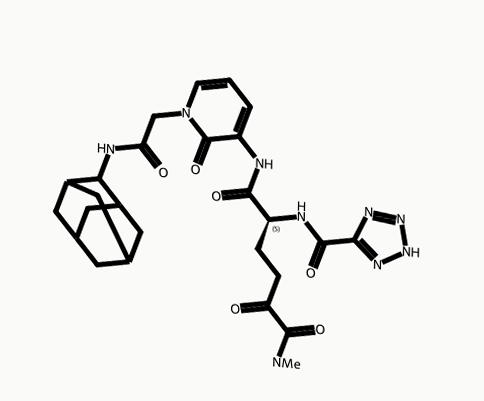 CNC(=O)C(=O)CC[C@H](NC(=O)c1nn[nH]n1)C(=O)Nc1cccn(CC(=O)NC2C3CC4CC(C3)CC2C4)c1=O